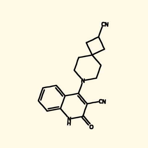 N#Cc1c(N2CCC3(CC2)CC(C#N)C3)c2ccccc2[nH]c1=O